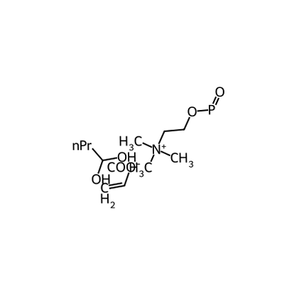 C=CC(=O)[O-].CCCC(O)O.C[N+](C)(C)CCOP=O